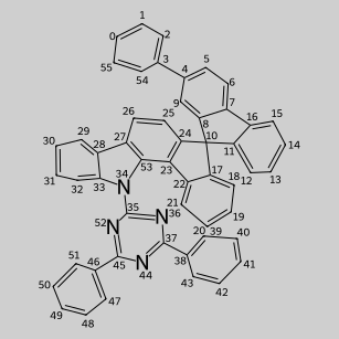 c1ccc(-c2ccc3c(c2)C2(c4ccccc4-3)c3ccccc3-c3c2ccc2c4ccccc4n(-c4nc(-c5ccccc5)nc(-c5ccccc5)n4)c32)cc1